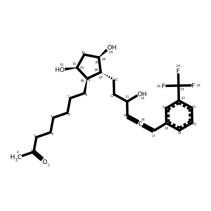 CC(=O)CCCCCC[C@@H]1[C@@H](CCC(O)C=C=Cc2cccc(C(F)(F)F)c2)[C@H](O)C[C@@H]1O